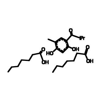 CCCCCCC(=O)O.CCCCCCC(=O)O.Cc1cc(C(=O)C(C)C)c(O)cc1O